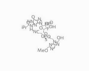 COCc1ncc2nc(CO)n(CCOP(=S)(OCCC#N)OC[C@H]3O[C@@H](n4cnc5c(=O)[nH]c(NC(=O)C(C)C)nc54)[C@H](O[PH](=O)O)[C@@H]3F)c2n1